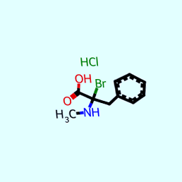 CNC(Br)(Cc1ccccc1)C(=O)O.Cl